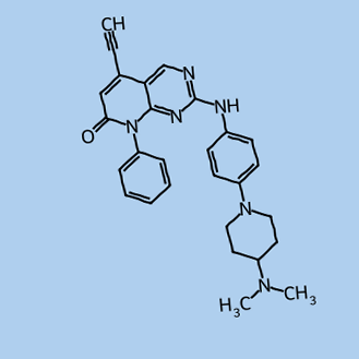 C#Cc1cc(=O)n(-c2ccccc2)c2nc(Nc3ccc(N4CCC(N(C)C)CC4)cc3)ncc12